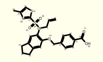 C=CCN(c1cc2c(cc1OCc1ccc(C(=O)O)cc1)CCC2)S(=O)(=O)c1nc(C)cs1